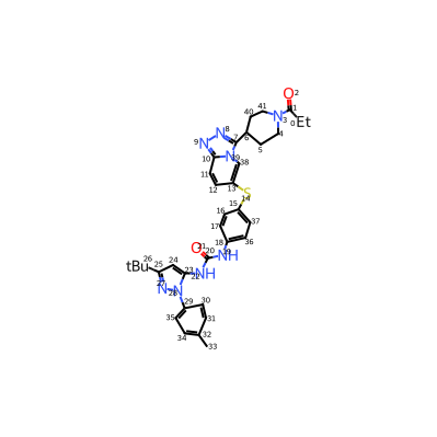 CCC(=O)N1CCC(c2nnc3ccc(Sc4ccc(NC(=O)Nc5cc(C(C)(C)C)nn5-c5ccc(C)cc5)cc4)cn23)CC1